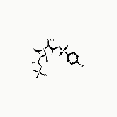 C[C@@H](O[Si](C)(C)C(C)(C)C)[C@@H]1C(=O)N2C(C(=O)O)=C(CS(=O)(=O)c3ccc(C(F)(F)F)cc3)C[C@H]12